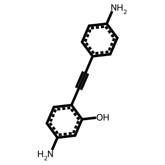 Nc1ccc(C#Cc2ccc(N)cc2O)cc1